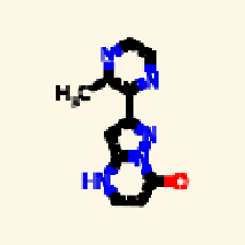 Cc1nccnc1-c1cc2[nH]ccc(=O)n2n1